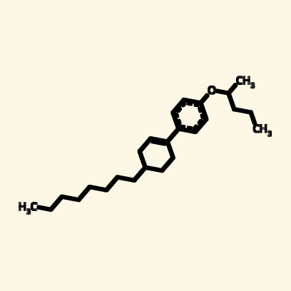 CCCCCCCCC1CC=C(c2ccc(OC(C)CCC)cc2)CC1